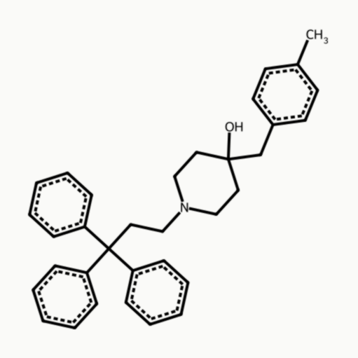 Cc1ccc(CC2(O)CCN(CCC(c3ccccc3)(c3ccccc3)c3ccccc3)CC2)cc1